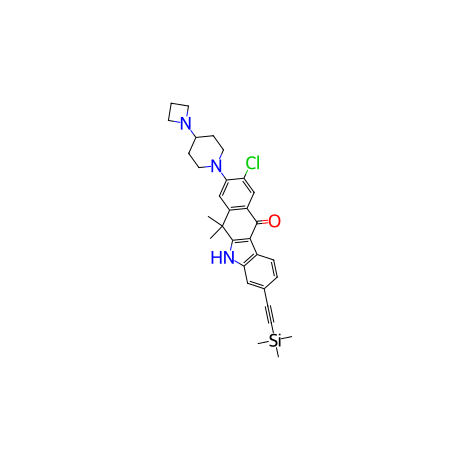 CC1(C)c2cc(N3CCC(N4CCC4)CC3)c(Cl)cc2C(=O)c2c1[nH]c1cc(C#C[Si](C)(C)C)ccc21